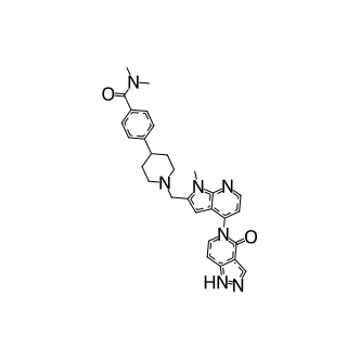 CN(C)C(=O)c1ccc(C2CCN(Cc3cc4c(-n5ccc6[nH]ncc6c5=O)ccnc4n3C)CC2)cc1